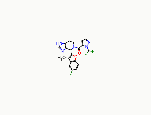 Cc1c([C@H]2c3nc[nH]c3CCN2C(=O)c2ccnn2C(F)F)oc2ccc(F)cc12